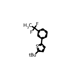 CC(C)(C)c1ccc(-c2cccc(C(C)(F)F)c2)s1